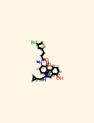 CN(C(=O)/C=C/c1cc(Br)cs1)[C@@H]1CC[C@H]2[C@H]3Cc4c(O)ccc5c4[C@@]2(CCN3CC2CC2)[C@H]1O5